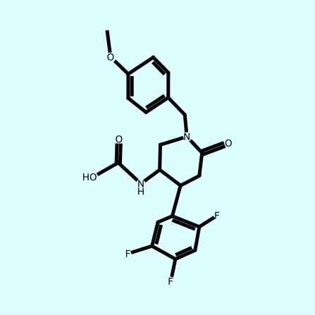 COc1ccc(CN2CC(NC(=O)O)C(c3cc(F)c(F)cc3F)CC2=O)cc1